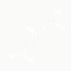 CN(C)CC[PH](=O)CCN(C)C